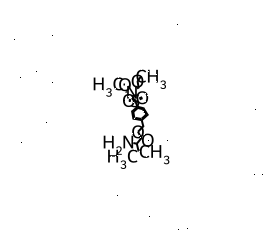 COCN(COC)S(=O)(=O)c1ccc(COC(=O)C(N)C(C)C)cc1